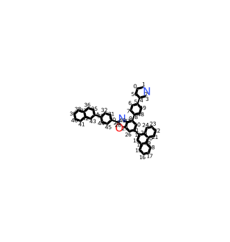 c1cncc(-c2ccc(-c3cc(-c4cc5ccccc5c5ccccc45)cc4oc(-c5ccc(-c6ccc7ccccc7c6)cc5)nc34)cc2)c1